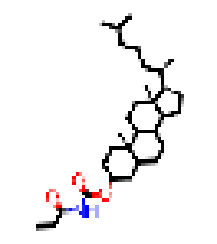 C=CC(=O)NC(=O)OC1CC[C@@]2(C)C(=CCC3C2CC[C@@]2(C)C3CC[C@@H]2[C@H](C)CCCC(C)C)C1